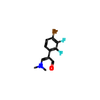 CN(C)C=C(C=O)c1ccc(Br)c(F)c1F